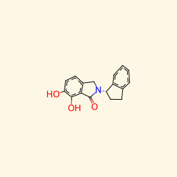 O=C1c2c(ccc(O)c2O)CN1[C@H]1CCc2ccccc21